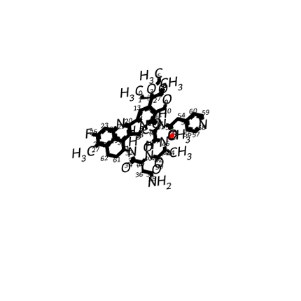 CC[C@@]1(OC(C)C)C(=O)OCc2c1cc1n(c2=O)Cc2c-1nc1cc(F)c(C)c3c1c2[C@@H](NC(=O)[C@H](CC(N)=O)NC(=O)[C@H](C)N(C)C(=O)[C@H](C)NC(=O)Cc1ccncc1)CC3